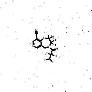 [2H]C1([2H])Oc2c(C#N)cncc2CN(C(=O)C(C)(C)C(F)F)C1([2H])[2H]